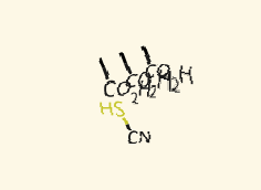 CC(=O)O.CC(=O)O.CC(=O)O.N#CS